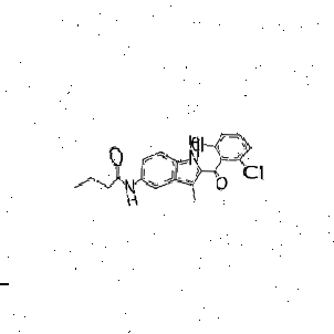 CCCC(=O)Nc1ccc2[nH]c(C(=O)c3c(Cl)cccc3Cl)c(C)c2c1